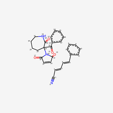 N#CC=CC=Cc1ccccc1.O=C1C=CC(=O)N1C1(C(=O)c2ccccc2)CCCCNC1=O